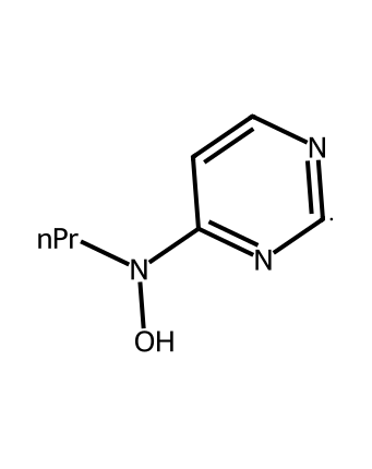 CCCN(O)c1ccn[c]n1